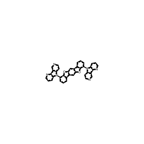 c1cc(-n2c3ccncc3c3ncccc32)c2oc3cc4c(cc3c2c1)oc1c(-n2c3ccncc3c3ncccc32)cccc14